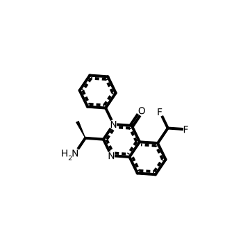 C[C@H](N)c1nc2cccc(C(F)F)c2c(=O)n1-c1ccccc1